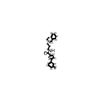 CCN(CCCNC(=O)c1ccc(-c2cccc(F)c2)s1)Cc1ccccc1